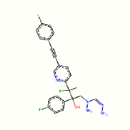 N/N=C\N(N)CC(O)(c1ccc(F)cc1)C(F)(F)c1ccc(C#Cc2ccc(F)cc2)cn1